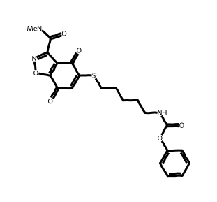 CNC(=O)c1noc2c1C(=O)C(SCCCCCNC(=O)Oc1ccccc1)=CC2=O